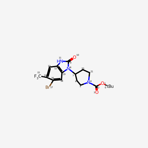 CC(C)(C)OC(=O)N1CCC(n2c(=O)[nH]c3cc(C(F)(F)F)c(Br)cc32)CC1